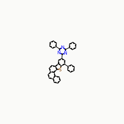 c1ccc(-c2nc(-c3ccccc3)nc(-c3cc(-c4ccccc4)c4sc5c(ccc6ccc7ccccc7c65)c4c3)n2)cc1